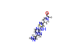 CC(=C=O)N1CCC(c2cc(Nc3nccn4c(-c5cnn(C)c5)cnc34)sn2)CC1